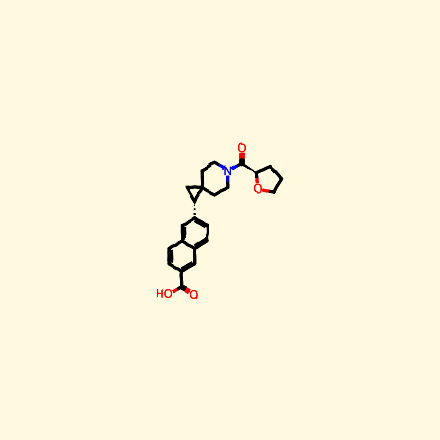 O=C(O)c1ccc2cc([C@@H]3CC34CCN(C(=O)[C@H]3CCCO3)CC4)ccc2c1